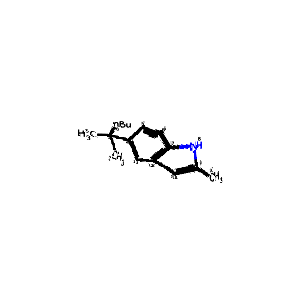 CCCCC(C)(C)c1ccc2[nH]c(C)cc2c1